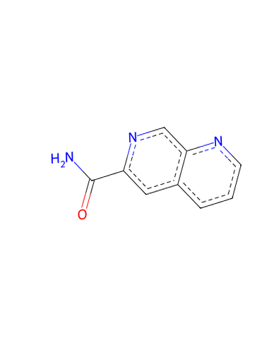 NC(=O)c1cc2cccnc2cn1